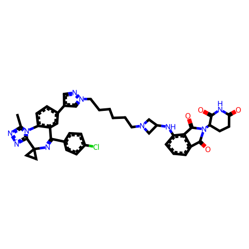 Cc1nnc2n1-c1ccc(-c3cnn(CCCCCCN4CC(Nc5cccc6c5C(=O)N(C5CCC(=O)NC5=O)C6=O)C4)c3)cc1C(c1ccc(Cl)cc1)=NC21CC1